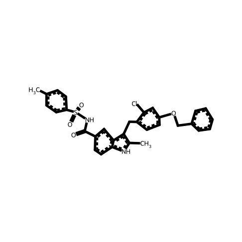 Cc1ccc(S(=O)(=O)NC(=O)c2ccc3[nH]c(C)c(Cc4ccc(OCc5ccccc5)cc4Cl)c3c2)cc1